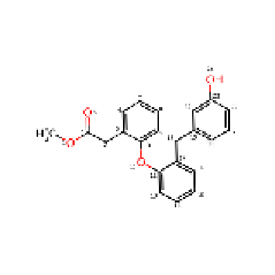 COC(=O)Cc1ccccc1Oc1ccccc1Cc1cccc(O)c1